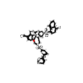 Cc1ccc(Cl)c2c1[N+](C1CCN(S(=O)(=O)c3ccc(-c4ccno4)s3)CC1)(C1CCN(S(=O)(=O)c3ccc(Cl)c4ccccc34)CC1)C(=O)OC2